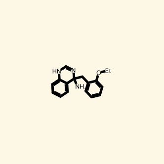 CCOc1ccccc1CC1(N)N=CNc2ccccc21